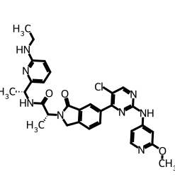 CCNc1cccc([C@@H](C)NC(=O)[C@@H](C)N2Cc3ccc(-c4nc(Nc5ccnc(OC)c5)ncc4Cl)cc3C2=O)n1